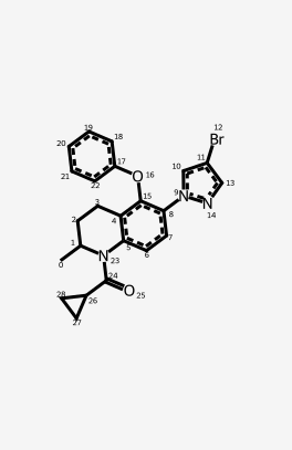 CC1CCc2c(ccc(-n3cc(Br)cn3)c2Oc2ccccc2)N1C(=O)C1CC1